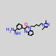 Cc1cnc(C)n1CCCCCn1c(=O)c(-c2cccc(C(=N)N)c2)nc2ccccc21